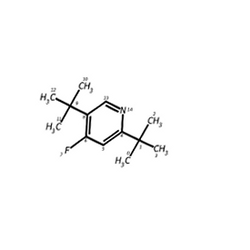 CC(C)(C)c1cc(F)c(C(C)(C)C)cn1